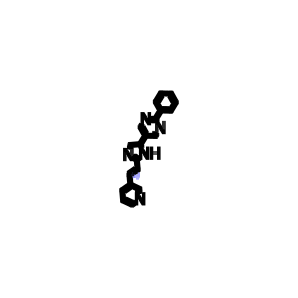 C(=C\c1cccnc1)/C1=NCC(c2cnc(-c3ccccc3)nc2)N1